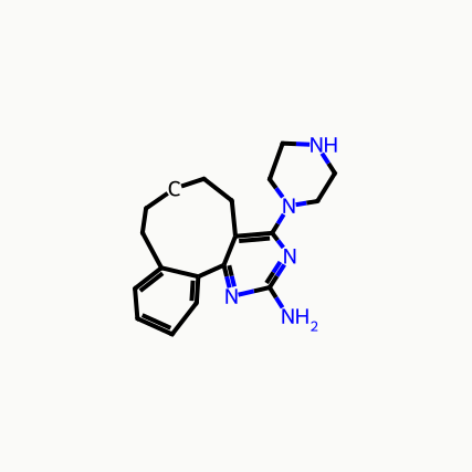 Nc1nc2c(c(N3CCNCC3)n1)CCCCCc1ccccc1-2